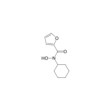 O=C(c1ccco1)N(O)C1CCCCC1